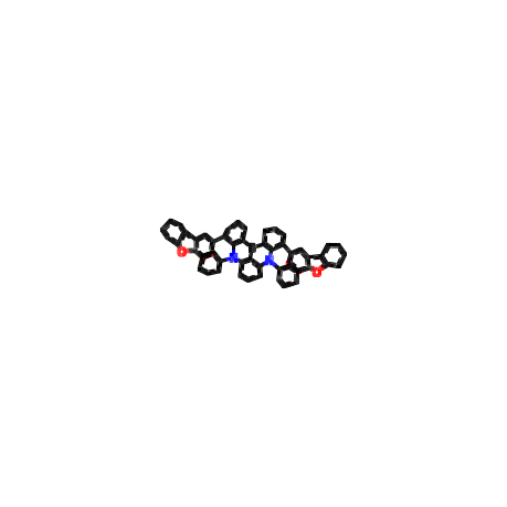 c1ccc(N2c3cccc4c3B(c3cccc(-c5ccc6oc7ccccc7c6c5)c32)c2cccc(-c3ccc5oc6ccccc6c5c3)c2N4c2ccccc2)cc1